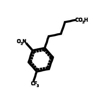 O=C(O)CCCc1ccc(C(F)(F)F)cc1[N+](=O)[O-]